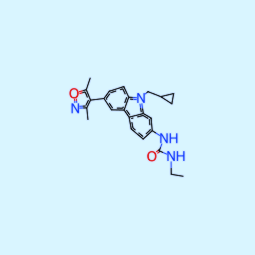 CCNC(=O)Nc1ccc2c3cc(-c4c(C)noc4C)ccc3n(CC3CC3)c2c1